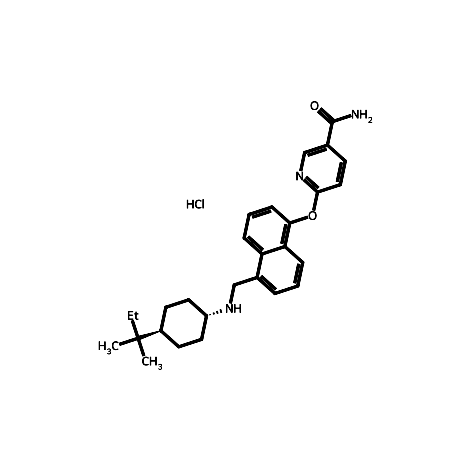 CCC(C)(C)[C@H]1CC[C@H](NCc2cccc3c(Oc4ccc(C(N)=O)cn4)cccc23)CC1.Cl